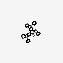 O=c1c2cc3c(cc2c2cc4c5cccnc5n(-c5ccccc5)c4cc2c(=O)n1-c1ccccc1)c1cccnc1n3-c1ccccc1